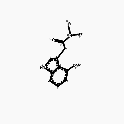 COc1cccc2[nH]cc(CC(=O)N(C(C)C)C(C)C)c12